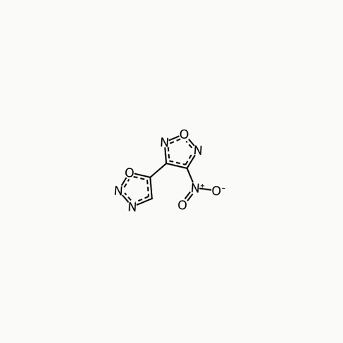 O=[N+]([O-])c1nonc1-c1cnno1